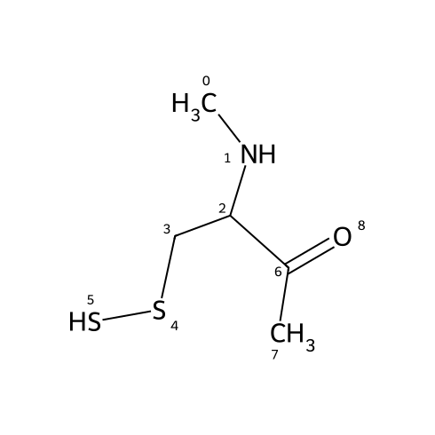 CNC(CSS)C(C)=O